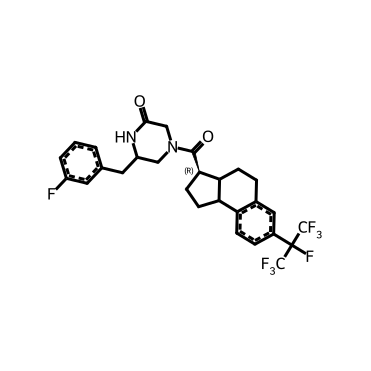 O=C1CN(C(=O)[C@@H]2CCC3c4ccc(C(F)(C(F)(F)F)C(F)(F)F)cc4CCC32)CC(Cc2cccc(F)c2)N1